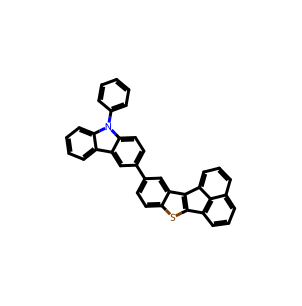 c1ccc(-n2c3ccccc3c3cc(-c4ccc5sc6c(c5c4)-c4cccc5cccc-6c45)ccc32)cc1